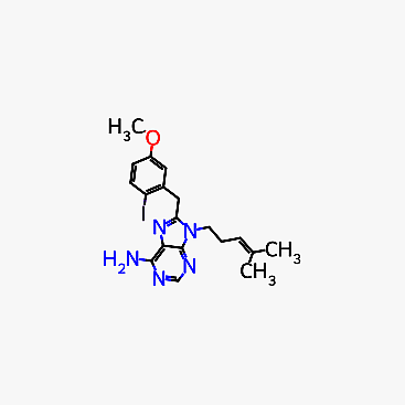 COc1ccc(I)c(Cc2nc3c(N)ncnc3n2CCC=C(C)C)c1